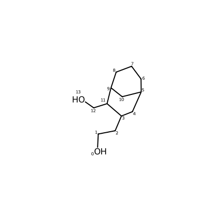 OCCC1CC2CCCC(C2)C1CO